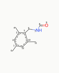 Cc1cc(C)c(CN[C]=O)c(C)c1